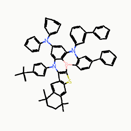 CC(C)(C)c1ccc(N2c3cc(N(c4ccccc4)c4ccccc4)cc4c3B(c3ccc(-c5ccccc5)cc3N4c3cccc(-c4ccccc4)c3)c3sc4cc5c(cc4c32)C(C)(C)CCC5(C)C)cc1